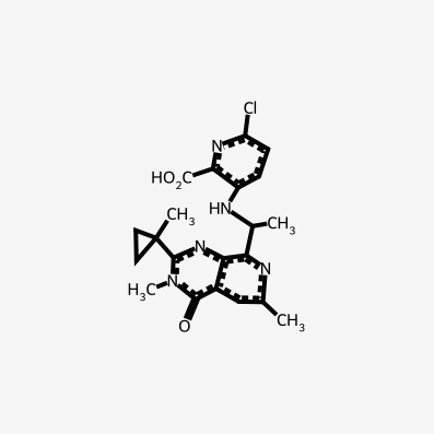 Cc1cc2c(=O)n(C)c(C3(C)CC3)nc2c(C(C)Nc2ccc(Cl)nc2C(=O)O)n1